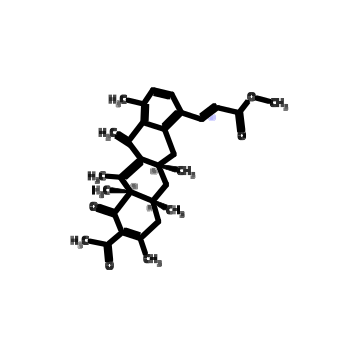 C=C1C2=C(C)[C@@]3(C)C(=O)C(C(C)=O)=C(C)C[C@@]3(C)C[C@@]2(C)Cc2c(/C=C/C(=O)OC)ccc(C)c21